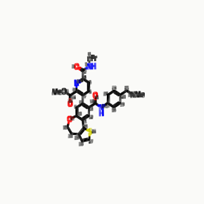 CCCNC(=O)c1ccc(-c2cc3c(cc2C(=O)Nc2ccc(CNC)cc2)-c2sccc2CCO3)c(C(=O)OC)n1